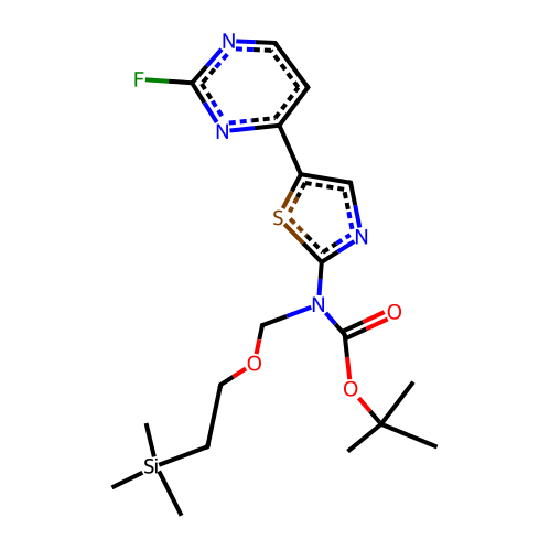 CC(C)(C)OC(=O)N(COCC[Si](C)(C)C)c1ncc(-c2ccnc(F)n2)s1